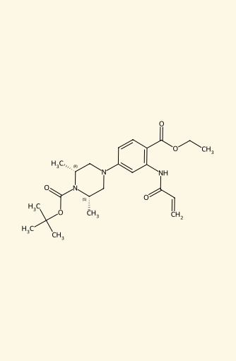 C=CC(=O)Nc1cc(N2C[C@@H](C)N(C(=O)OC(C)(C)C)[C@@H](C)C2)ccc1C(=O)OCC